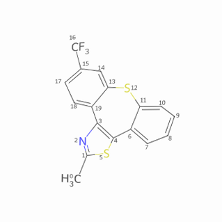 Cc1nc2c(s1)-c1ccccc1Sc1cc(C(F)(F)F)ccc1-2